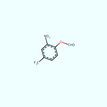 O=COc1ccc(C(F)(F)F)cc1[N+](=O)[O-]